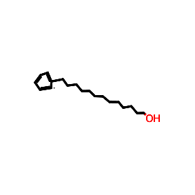 OCCCCCCCCCCCCCc1[c]cccc1